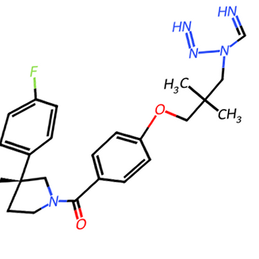 CC(C)(COc1ccc(C(=O)N2CC[C@](C)(c3ccc(F)cc3)C2)cc1)CN(C=N)N=N